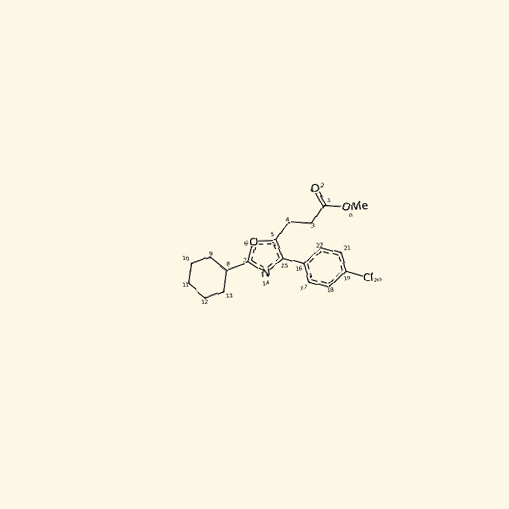 COC(=O)CCc1oc(C2CCCCC2)nc1-c1ccc(Cl)cc1